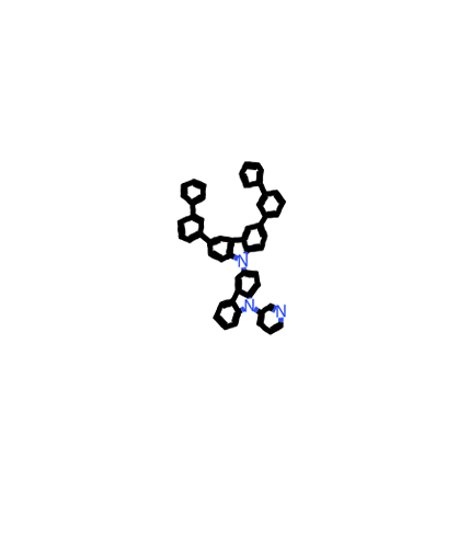 c1ccc(-c2cccc(-c3ccc4c(c3)c3cc(-c5cccc(-c6ccccc6)c5)ccc3n4-c3ccc4c(c3)c3ccccc3n4-c3cccnc3)c2)cc1